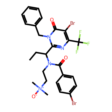 CCC(c1nc(C(F)(F)F)c(Br)c(=O)n1Cc1ccccc1)N(CC[N+](C)(C)[O-])C(=O)c1ccc(Br)cc1